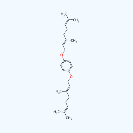 CC(C)=CCC/C(C)=C/COc1ccc(OC/C=C(\C)CCC=C(C)C)cc1